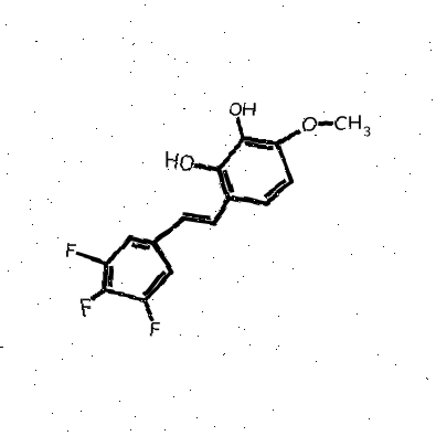 COc1ccc(C=Cc2cc(F)c(F)c(F)c2)c(O)c1O